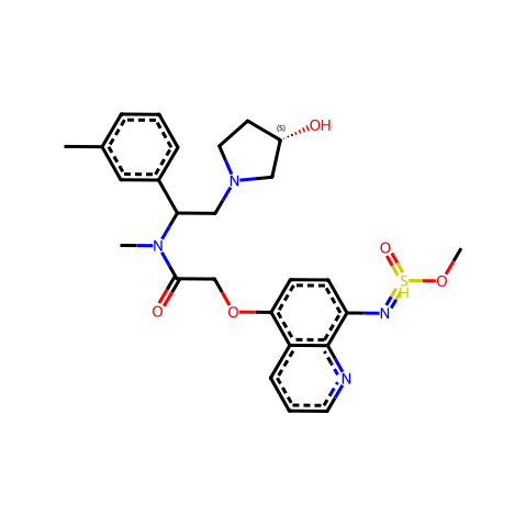 CO[SH](=O)=Nc1ccc(OCC(=O)N(C)C(CN2CC[C@H](O)C2)c2cccc(C)c2)c2cccnc12